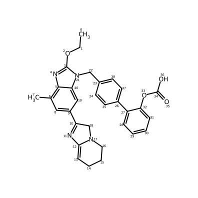 CCOc1nc2c(C)cc(C3=NC4=CCCCN4C3)cc2n1Cc1ccc(-c2ccccc2OC(=O)O)cc1